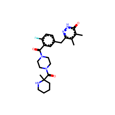 Cc1c(Cc2ccc(F)c(C(=O)N3CCN(C(=O)C4(C)CCCCN4)CC3)c2)n[nH]c(=O)c1C